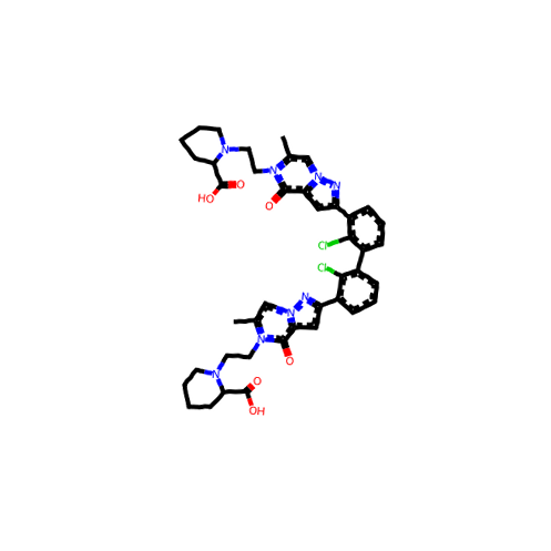 Cc1cn2nc(-c3cccc(-c4cccc(-c5cc6c(=O)n(CCN7CCCCC7C(=O)O)c(C)cn6n5)c4Cl)c3Cl)cc2c(=O)n1CCN1CCCCC1C(=O)O